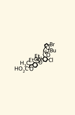 CCc1c(S(=O)(=O)N(CC)c2ccc(Cl)cc2CN(Cc2ccc(Br)o2)C(=O)C(C)(C)C)ccc2oc(C(=O)O)c(C)c12